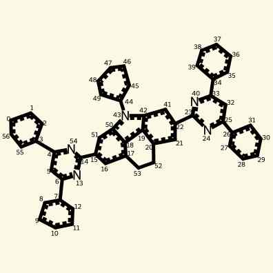 c1ccc(-c2cc(-c3ccccc3)nc(-c3cc4c5c6c(cc(-c7nc(-c8ccccc8)cc(-c8ccccc8)n7)cc6n(-c6ccccc6)c5c3)CC4)n2)cc1